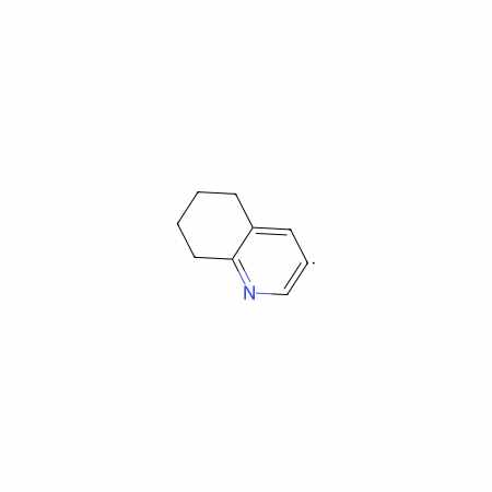 [c]1cnc2c(c1)CCCC2